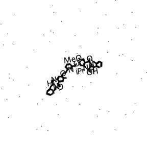 COc1cc2c(cc1OCc1cccc(COc3cc4c(cc3C)C(=O)N3Cc5ccccc5C[C@H]3C=N4)n1)N(C(C)C)C(O)[C@@H]1Cc3ccccc3CN1C2=O